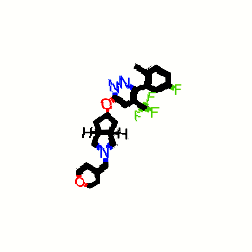 Cc1ccc(F)cc1-c1nnc(O[C@H]2C[C@@H]3CN(CC4CCOCC4)C[C@@H]3C2)cc1C(F)(F)F